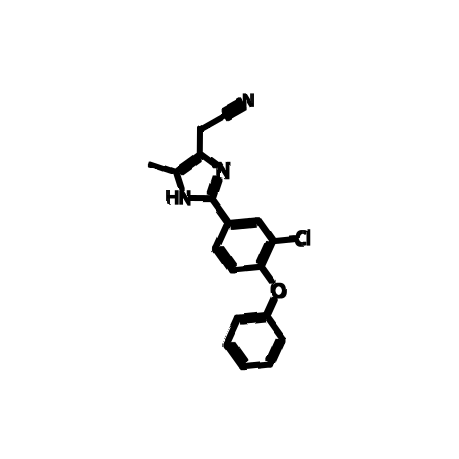 Cc1[nH]c(-c2ccc(Oc3ccccc3)c(Cl)c2)nc1CC#N